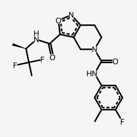 Cc1cc(NC(=O)N2CCc3noc(C(=O)N[C@H](C)C(C)(F)F)c3C2)ccc1F